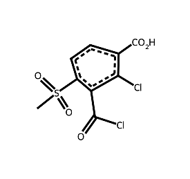 CS(=O)(=O)c1ccc(C(=O)O)c(Cl)c1C(=O)Cl